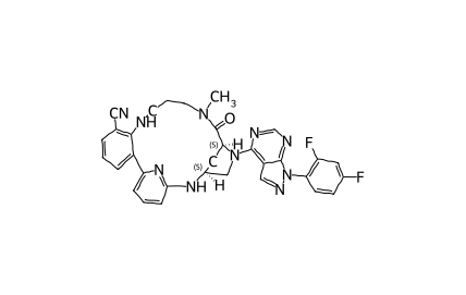 CN1CCCNc2c(C#N)cccc2-c2cccc(n2)N[C@H]2C[C@@H](C1=O)N(c1ncnc3c1cnn3-c1ccc(F)cc1F)C2